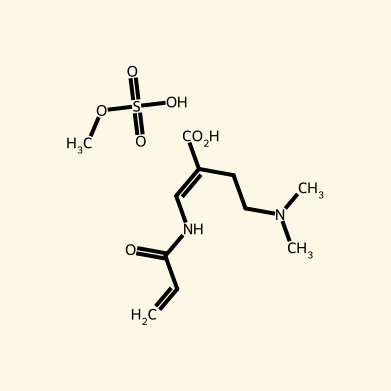 C=CC(=O)NC=C(CCN(C)C)C(=O)O.COS(=O)(=O)O